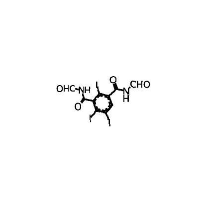 O=CNC(=O)c1cc(I)c(I)c(C(=O)NC=O)c1I